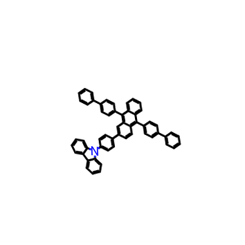 c1ccc(-c2ccc(-c3c4ccccc4c(-c4ccc(-c5ccccc5)cc4)c4cc(-c5ccc(-n6c7ccccc7c7ccccc76)cc5)ccc34)cc2)cc1